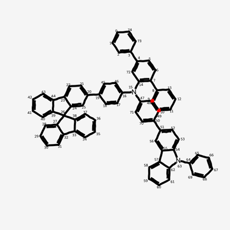 c1ccc(-c2ccc(-c3ccccc3)c(N(c3ccc(-c4ccc5c(c4)C4(c6ccccc6-c6ccccc64)c4ccccc4-5)cc3)c3ccc(-c4ccc5c(c4)c4ccccc4n5-c4ccccc4)cc3)c2)cc1